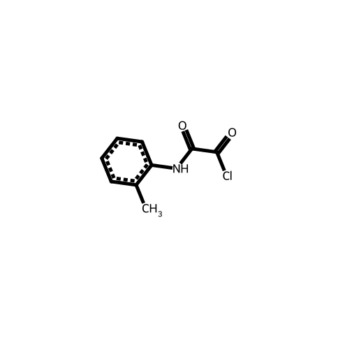 Cc1ccccc1NC(=O)C(=O)Cl